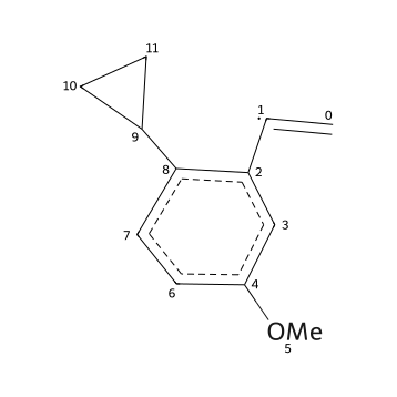 C=[C]c1cc(OC)ccc1C1CC1